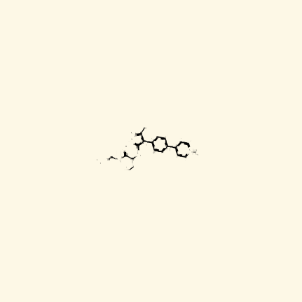 Cc1nsc(N[C@@H](CC(C)C)C(=O)NCC#N)c1-c1ccc(-c2cc[n+]([O-])cc2)cc1